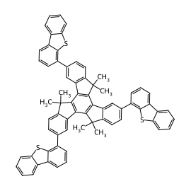 CC1(C)c2ccc(-c3cccc4c3sc3ccccc34)cc2-c2c1c1c(c3c2C(C)(C)c2ccc(-c4cccc5c4sc4ccccc45)cc2-3)C(C)(C)c2ccc(-c3cccc4c3sc3ccccc34)cc2-1